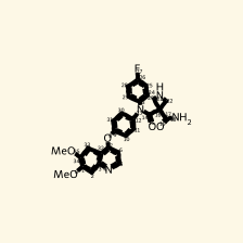 COc1cc2nccc(Oc3ccc(N(C(=O)C4(C(N)=O)CNC4)c4ccc(F)cc4)cc3)c2cc1OC